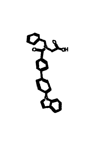 O=C(O)CN(Cc1ccccc1)C(=O)c1ccc(-c2ccc(-n3ccc4ccccc43)cc2)cc1